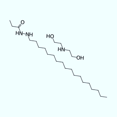 CCCCCCCCCCCCCCCCCCNNC(=O)CC.OCCNCCO